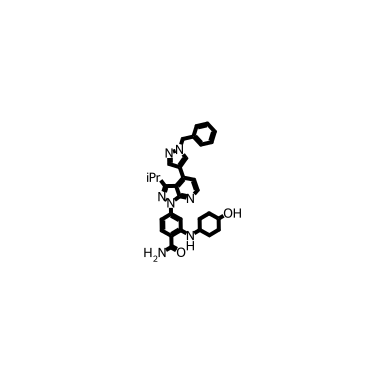 CC(C)c1nn(-c2ccc(C(N)=O)c(NC3CCC(O)CC3)c2)c2nccc(-c3cnn(Cc4ccccc4)c3)c12